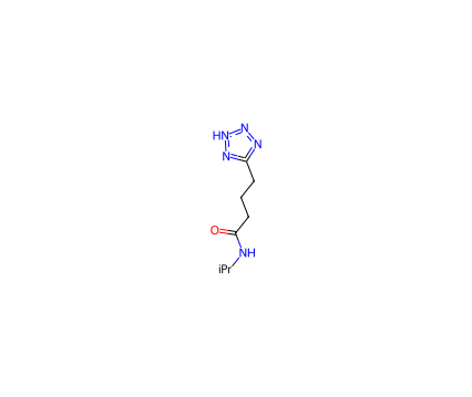 CC(C)NC(=O)CCCc1nn[nH]n1